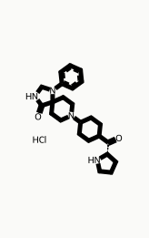 Cl.O=C(C1CCC(N2CCC3(CC2)C(=O)NCN3c2ccccc2)CC1)[C@@H]1CCCN1